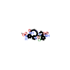 COC(=O)Nc1ccc2c(c1)NC(=O)CC/C=C\C[C@@H](C(=O)N1CCC[C@@]3(C1)OC(=O)Nc1ccc(Cl)c(F)c13)c1cc-2ccn1